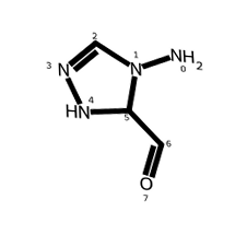 NN1C=NNC1C=O